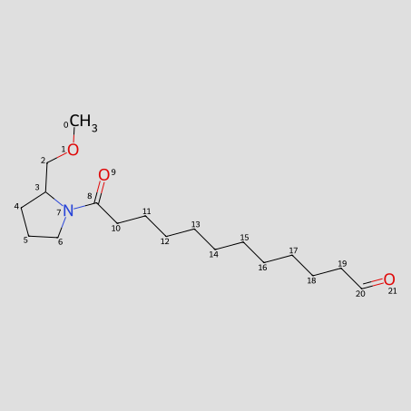 COCC1CCCN1C(=O)CCCCCCCCCCC=O